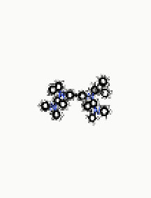 c1ccc(N(c2ccccc2)c2ccc(N(c3ccc(-c4ccc(N(c5cccc6ccccc56)c5ccc(N(c6ccccc6)c6ccccc6)c6ccccc56)cc4)cc3)c3ccc4c(c3)C3(CCCCC3)c3ccccc3-4)c3ccccc23)cc1